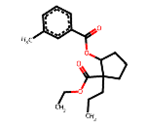 CCCC1(C(=O)OCC)CCCC1OC(=O)c1cccc(C)c1